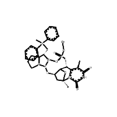 CCOP(=O)(C[C@@H]1c2c(C)c(=O)[nH]c(=O)n2[C@H]2C[C@@H](OP3O[C@@H](CS(C)(c4ccccc4)c4ccccc4)[C@H]4CCCN43)C1O2)OCC